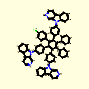 Clc1ccc(-c2c(-c3ccc(-n4c5ccccc5c5ccncc54)cc3)c(-c3ccccc3)c(-c3ccccc3)c(-c3ccc(-n4c5ccccc5c5ccncc54)cc3)c2-c2ccc(-n3c4ccccc4c4ccncc43)cc2)cc1